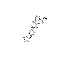 O=C(Nc1nc2c(C(=O)O)cccc2[nH]1)c1ccc(OC2CCCC2)cn1